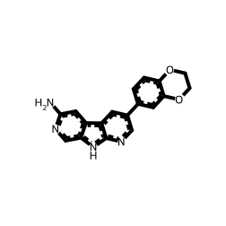 Nc1cc2c(cn1)[nH]c1ncc(-c3ccc4c(c3)OCCO4)cc12